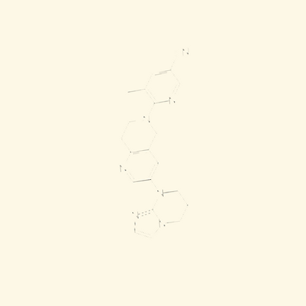 Cc1cc(C#N)cnc1N1CCc2ncc(N3CCCn4ccnc43)cc2C1